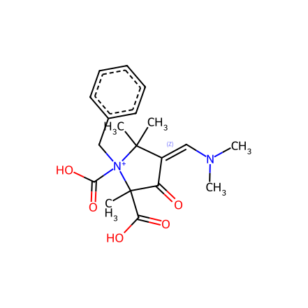 CN(C)/C=C1\C(=O)C(C)(C(=O)O)[N+](Cc2ccccc2)(C(=O)O)C1(C)C